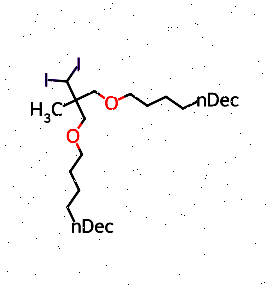 CCCCCCCCCCCCCCOCC(C)(COCCCCCCCCCCCCCC)C(I)I